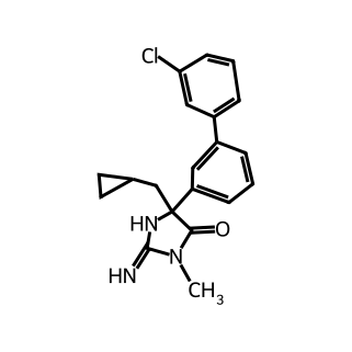 CN1C(=N)NC(CC2CC2)(c2cccc(-c3cccc(Cl)c3)c2)C1=O